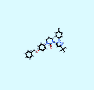 Cc1ccc(-n2nc(C(C)(C)C)cc2N2CCCN(c3ccc(OCc4ccccc4)cc3)C2=O)cc1